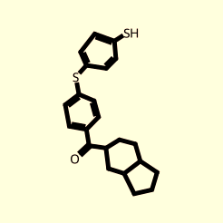 O=C(c1ccc(Sc2ccc(S)cc2)cc1)C1CCC2CCCC2C1